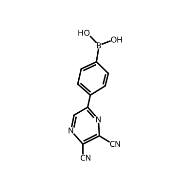 N#Cc1ncc(-c2ccc(B(O)O)cc2)nc1C#N